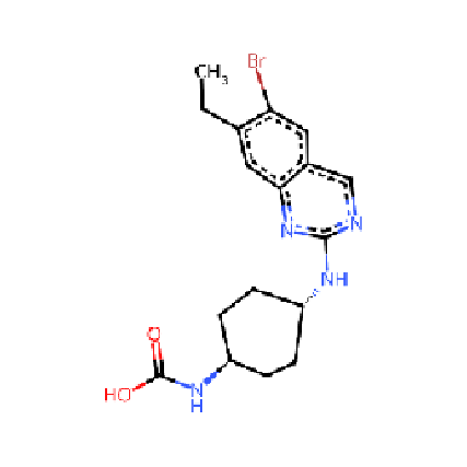 CCc1cc2nc(N[C@H]3CC[C@H](NC(=O)O)CC3)ncc2cc1Br